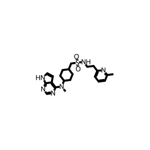 Cc1cccc(CCNS(=O)(=O)CC2CCC(N(C)c3ncnc4[nH]ccc34)CC2)n1